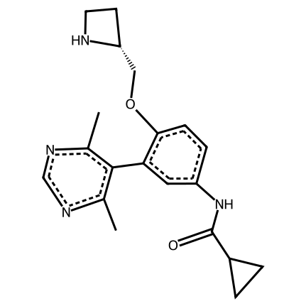 Cc1ncnc(C)c1-c1cc(NC(=O)C2CC2)ccc1OC[C@H]1CCN1